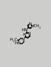 CC1CN(c2ccnc(Nc3cnn(C)c3)n2)CCN1